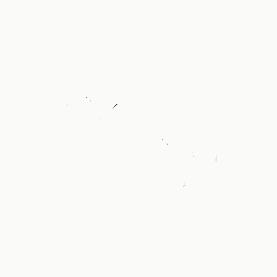 Cc1ccc([C@]23CCN(C(=O)[C@H]4C[C@]5(COC(=O)N5)C4)C[C@H]2C3)cc1F